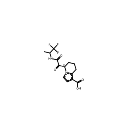 CC(NC(=O)C(=O)[C@H]1CCCc2c(C(=O)O)ccn21)C(F)(F)F